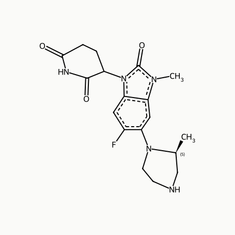 C[C@H]1CNCCN1c1cc2c(cc1F)n(C1CCC(=O)NC1=O)c(=O)n2C